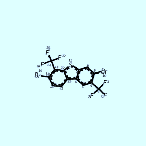 FC(F)(F)c1cc2c(cc1Br)sc1c(C(F)(F)F)c(Br)ccc12